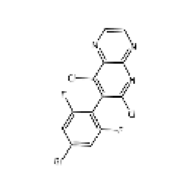 Fc1cc(Br)cc(F)c1-c1c(Cl)nc2nccnc2c1Cl